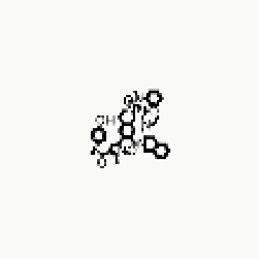 Cc1c(C(=O)N(C)c2ccc(O)cc2)cc(-c2cc3c(cc2C(=O)N2Cc4ccccc4C[C@H]2CN2CCOCC2)CN(S(=O)(=O)N(C)c2ccccc2)CC3)n1C